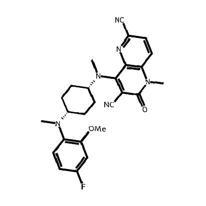 COc1cc(F)ccc1N(C)[C@H]1CC[C@@H](N(C)c2c(C#N)c(=O)n(C)c3ccc(C#N)nc23)CC1